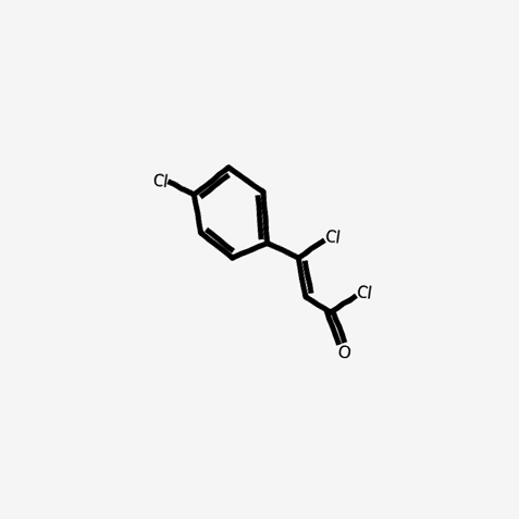 O=C(Cl)/C=C(\Cl)c1ccc(Cl)cc1